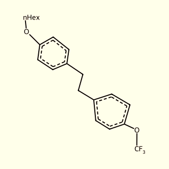 CCCCCCOc1ccc(CCc2ccc(OC(F)(F)F)cc2)cc1